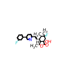 C[C@H]1OC(=O)[C@]2(O)CC(C)(F)[C@@H](C)[C@H](/C=C/c3ccc(-c4cccc(F)c4)cn3)[C@H]12